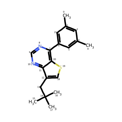 Cc1cc(C)cc(-c2ncnc3c(CC(C)(C)C)csc23)c1